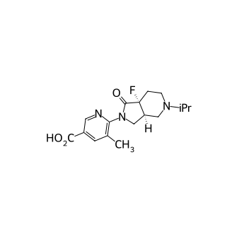 Cc1cc(C(=O)O)cnc1N1C[C@@H]2CN(C(C)C)CC[C@]2(F)C1=O